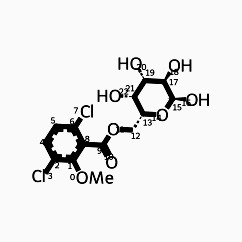 COc1c(Cl)ccc(Cl)c1C(=O)OC[C@H]1O[C@H](O)[C@H](O)[C@@H](O)[C@H]1O